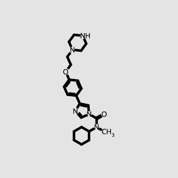 CN(C(=O)n1cnc(-c2ccc(OCCN3CCNCC3)cc2)c1)C1CCCCC1